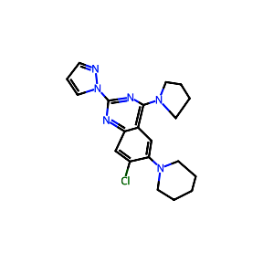 Clc1cc2nc(-n3cccn3)nc(N3CCCC3)c2cc1N1CCCCC1